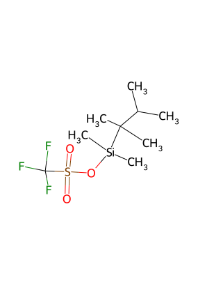 CC(C)C(C)(C)[Si](C)(C)OS(=O)(=O)C(F)(F)F